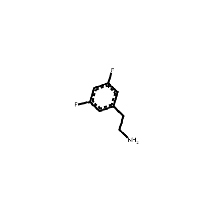 NCCc1cc(F)cc(F)c1